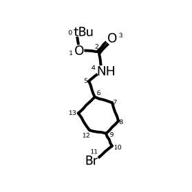 CC(C)(C)OC(=O)NCC1CCC(CBr)CC1